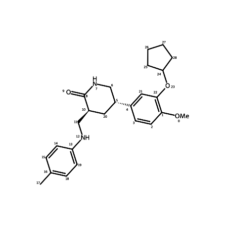 COc1ccc([C@H]2CNC(=O)[C@H](CNc3ccc(C)cc3)C2)cc1OC1CCCC1